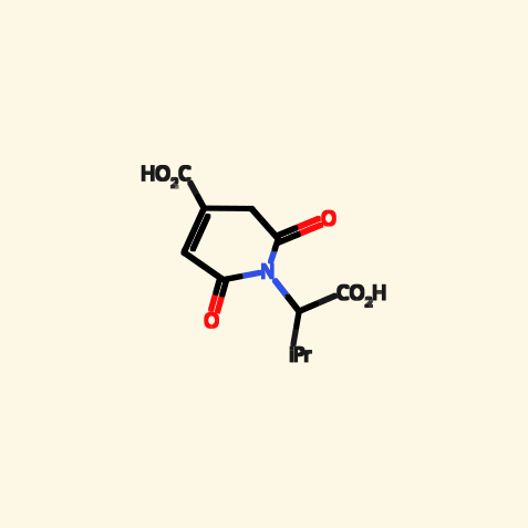 CC(C)C(C(=O)O)N1C(=O)C=C(C(=O)O)CC1=O